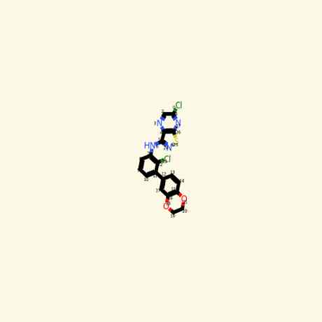 Clc1cnc2c(Nc3cccc(-c4ccc5c(c4)OCCO5)c3Cl)nsc2n1